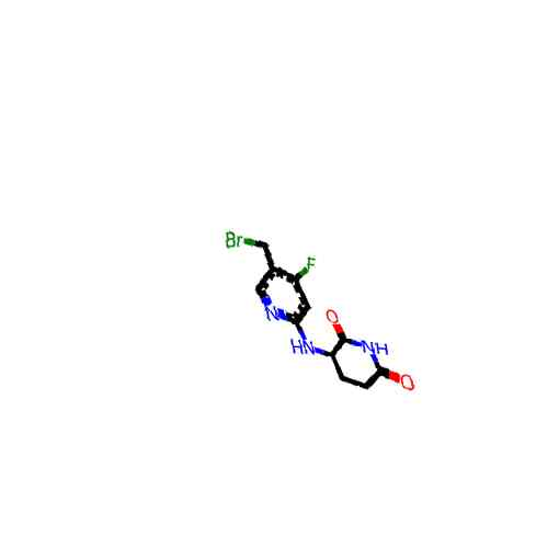 O=C1CCC(Nc2cc(F)c(CBr)cn2)C(=O)N1